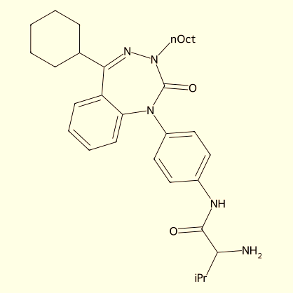 CCCCCCCCN1N=C(C2CCCCC2)c2ccccc2N(c2ccc(NC(=O)C(N)C(C)C)cc2)C1=O